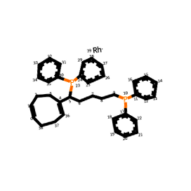 C1=CCCC(C(CCCCP(c2ccccc2)c2ccccc2)P(c2ccccc2)c2ccccc2)=CCC1.[Rh]